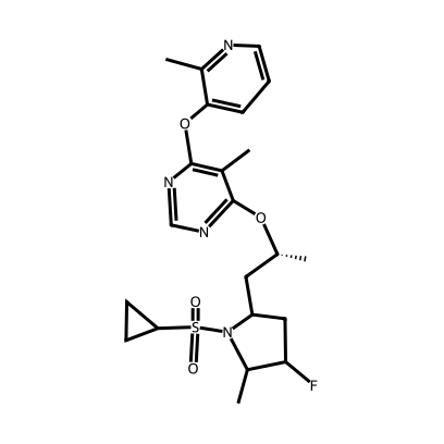 Cc1ncccc1Oc1ncnc(O[C@H](C)CC2CC(F)C(C)N2S(=O)(=O)C2CC2)c1C